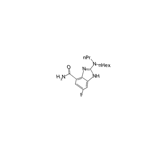 CCCCCCN(CCC)c1nc2c(C(N)=O)cc(F)cc2[nH]1